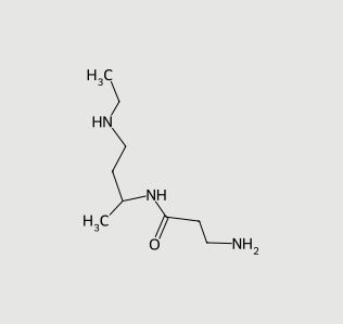 CCNCCC(C)NC(=O)CCN